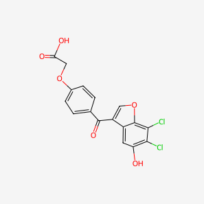 O=C(O)COc1ccc(C(=O)c2coc3c(Cl)c(Cl)c(O)cc23)cc1